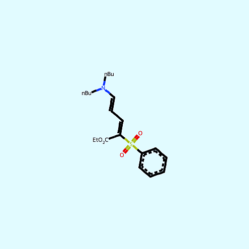 CCCCN(C=CC=C(C(=O)OCC)S(=O)(=O)c1ccccc1)CCCC